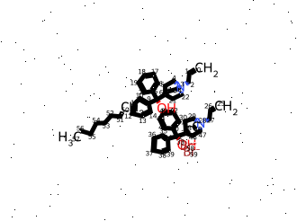 C=CC[N+]12CCC(C(O)(c3ccccc3)c3ccccc3)(CC1)CC2.C=CC[N+]12CCC(C(O)(c3ccccc3)c3ccccc3)(CC1)CC2.CCCCCCCC.[Br-].[Br-]